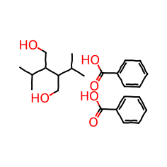 CC(C)C(CO)C(CO)C(C)C.O=C(O)c1ccccc1.O=C(O)c1ccccc1